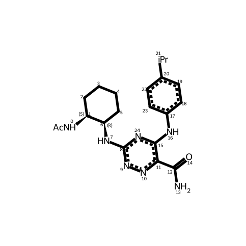 CC(=O)N[C@H]1CCCC[C@H]1Nc1nnc(C(N)=O)c(Nc2ccc(C(C)C)cc2)n1